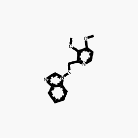 COc1ccnc(CSn2cnc3ccccc32)c1OC